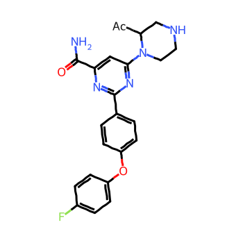 CC(=O)C1CNCCN1c1cc(C(N)=O)nc(-c2ccc(Oc3ccc(F)cc3)cc2)n1